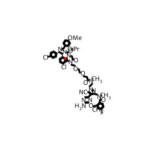 COc1ccc(C2=N[C@H](c3ccc(Cl)cc3)[C@H](c3ccc(Cl)cc3)N2C(=O)N2CCN(CCOCCOCCC(=O)N(C)CCn3nc4c(c3C#N)-c3cnc(N)c(n3)O[C@H](C)c3cc(F)ccc3C(=O)N(C)C4)C(=O)C2)c(OC(C)C)c1